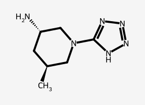 C[C@H]1C[C@H](N)CN(c2nnn[nH]2)C1